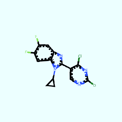 Fc1cc2nc(-c3cnc(Cl)nc3Cl)n(C3CC3)c2cc1F